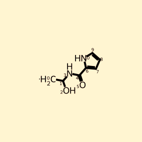 [CH2]C(O)NC(=O)c1ccc[nH]1